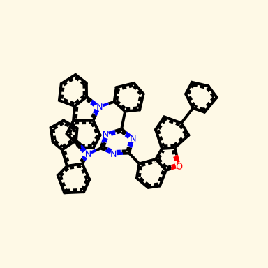 c1ccc(-c2ccc3c(c2)oc2cccc(-c4nc(-c5ccccc5-n5c6ccccc6c6ccccc65)nc(-n5c6ccccc6c6ccccc65)n4)c23)cc1